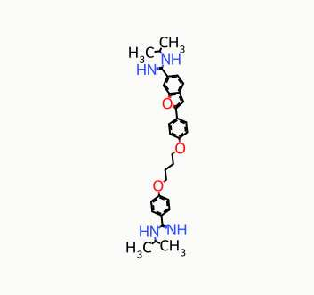 CC(C)NC(=N)c1ccc(OCCCCOc2ccc(-c3cc4ccc(C(=N)NC(C)C)cc4o3)cc2)cc1